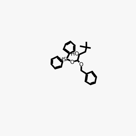 CC(C)(C)CC(O)C(OCc1ccccc1)O[SiH](c1ccccc1)c1ccccc1